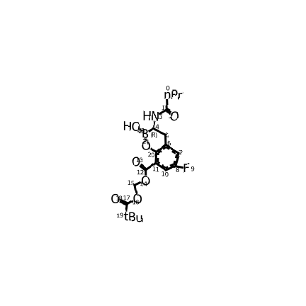 CCCC(=O)N[C@H]1Cc2cc(F)cc(C(=O)OCOC(=O)C(C)(C)C)c2OB1O